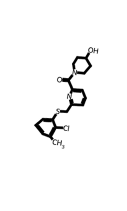 Cc1cccc(SCc2cccc(C(=O)N3CCC(O)CC3)n2)c1Cl